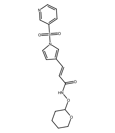 O=C(C=Cc1ccn(S(=O)(=O)c2cccnc2)c1)NOC1CCCCO1